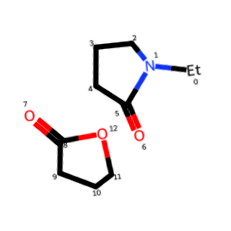 CCN1CCCC1=O.O=C1CCCO1